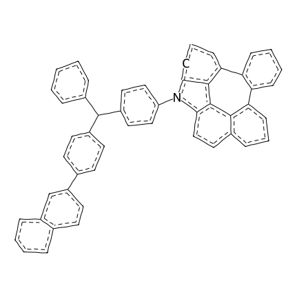 c1ccc(C(c2ccc(-c3ccc4ccccc4c3)cc2)c2ccc(-n3c4cccc5c4c4c6c(cccc6ccc43)-c3ccccc3-5)cc2)cc1